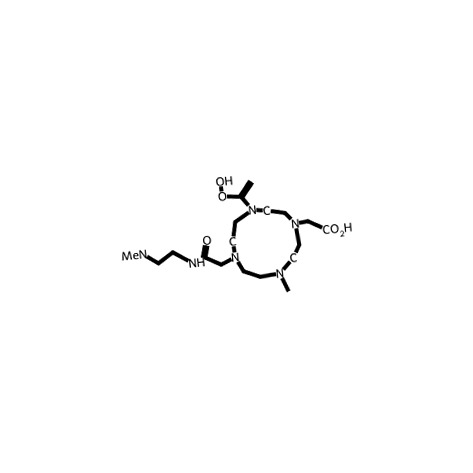 C=C(OO)N1CCN(CC(=O)O)CCN(C)CCN(CC(=O)NCCNC)CC1